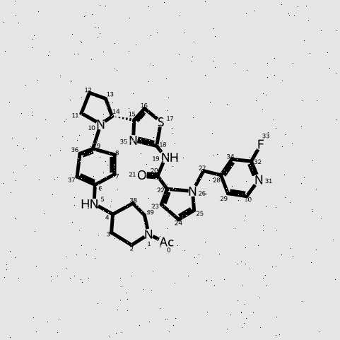 CC(=O)N1CCC(Nc2ccc(N3CCC[C@@H]3c3csc(NC(=O)c4cccn4Cc4ccnc(F)c4)n3)cc2)CC1